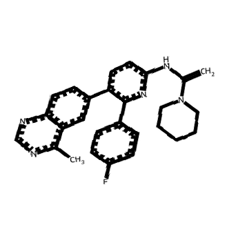 C=C(Nc1ccc(-c2ccc3ncnc(C)c3c2)c(-c2ccc(F)cc2)n1)N1CCCCC1